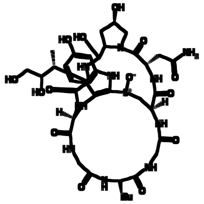 CC[C@H](C)C1NC(=O)CNC(=O)[C@@H]2Cc3c([nH]c4cc(O)ccc34)[S+]([O-])C[C@H](NC(=O)CNC1=O)C(=O)N[C@@H](CC(N)=O)C(=O)N1C[C@H](O)CC1C(O)NC([C@@H](C)C(O)CO)C(=O)N2